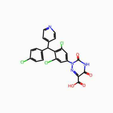 O=C(O)c1nn(-c2cc(Cl)c(C(c3ccncc3)c3ccc(Cl)cc3)c(Cl)c2)c(=O)[nH]c1=O